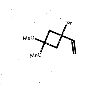 C=CC1(C(C)C)CC(OC)(OC)C1